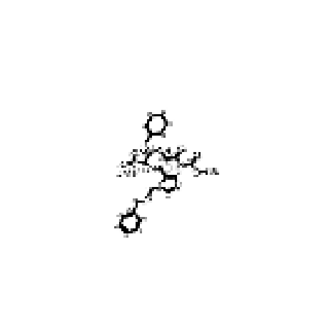 COP(=O)(OC)C(O)[C@H](CC1CCCCC1)N[C@@H](Cc1cncn1COCc1ccccc1)C(=O)NC(=O)OC(C)(C)C